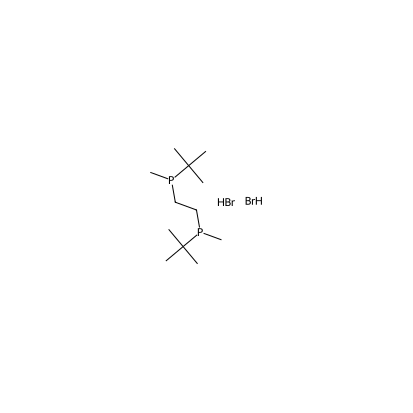 Br.Br.CP(CCP(C)C(C)(C)C)C(C)(C)C